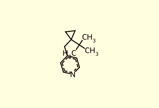 CC(C)(C)C1(Cc2ccncc2)CC1